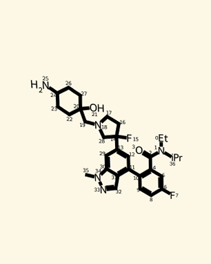 CCN(C(=O)c1cc(F)ccc1-c1cc(C2(F)CCN(CC3(O)CCC(N)CC3)C2)cc2c1cnn2C)C(C)C